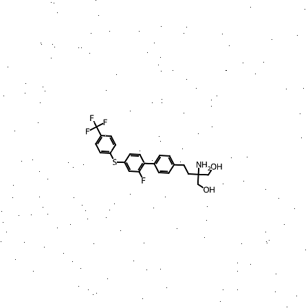 NC(CO)(CO)CCc1ccc(-c2ccc(Sc3ccc(C(F)(F)F)cc3)cc2F)cc1